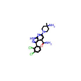 CC1(N)CCN(c2cc(C(N)=O)c3c(-c4cccc(Cl)c4Cl)n[nH]c3n2)CC1